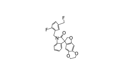 O=C1N(Cc2cc(CF)ccc2F)c2ccccc2C12COc1cc3c(cc12)OCCO3